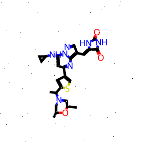 CC1CN(C(C)c2cc(-c3cc(NC4CC4)n4ncc(/C=C5\NC(=O)NC5=O)c4n3)cs2)CC(C)O1